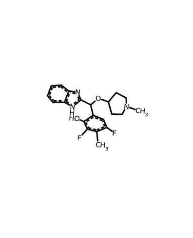 Cc1c(F)cc(C(OC2CCN(C)CC2)c2nc3ccccc3[nH]2)c(O)c1F